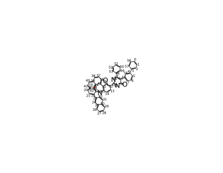 c1ccc(-c2ccc3oc4nc(-c5ccc(-n6c7ccccc7c7cc8ccccc8cc76)c6c5oc5ccc7ccccc7c56)nc(-c5ccccc5)c4c3c2)cc1